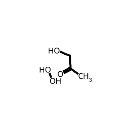 CC(=O)CO.OO